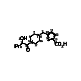 CC(C)C(O)C(=O)N1CCN(Cc2ccc(C(=O)O)s2)CC1